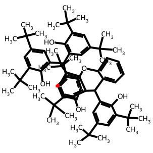 CC(C)(C)c1cc(C(c2ccccc2Oc2ccccc2C(c2cc(C(C)(C)C)cc(C(C)(C)C)c2O)c2cc(C(C)(C)C)cc(C(C)(C)C)c2O)c2cc(C(C)(C)C)cc(C(C)(C)C)c2O)c(O)c(C(C)(C)C)c1